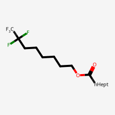 CCCCCCCC(=O)OCCCCCCC(F)(F)C(F)(F)F